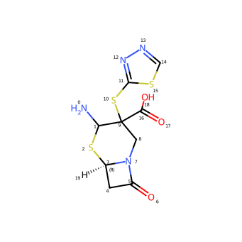 NC1S[C@@H]2CC(=O)N2CC1(Sc1nncs1)C(=O)O